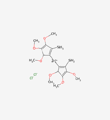 COC1=C(OC)C(OC)[C]([Zr+2][C]2=C([SiH3])C(OC)=C(OC)C2OC)=C1[SiH3].[Cl-].[Cl-]